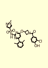 Cc1cccc(C)c1-c1cc(OC2CN(C(=O)c3ccc(O)c(Cl)c3)C2)nc(NS(=O)(=O)c2cnn(C)c2)n1